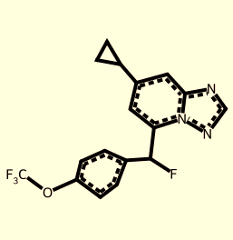 FC(c1ccc(OC(F)(F)F)cc1)c1cc(C2CC2)cc2ncnn12